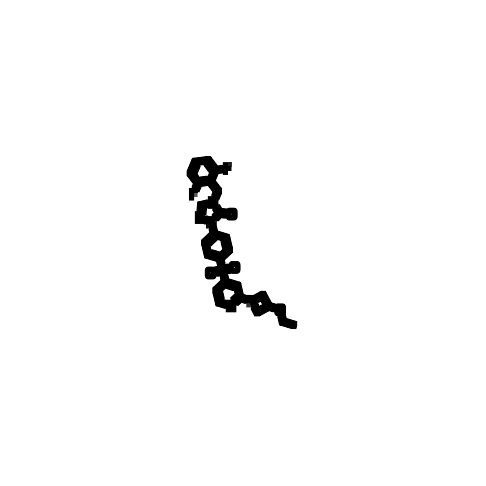 CCOC1CN(c2cc(S(=O)(=O)c3ccc(-n4ncn(Cc5c(F)cccc5F)c4=O)cc3)ccn2)C1